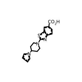 O=C(O)c1ccc2nc(N3CCC(n4cccc4)CC3)sc2c1